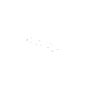 C=C/C=C\c1cc(-c2ccc3c(c2)oc2ccccc23)ncn1